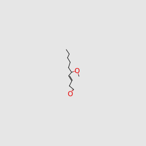 CCCCCC(C=CCC=O)OC